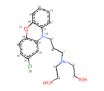 OCCN(CCO)CCCN1c2ccccc2Oc2ccc(Cl)cc21